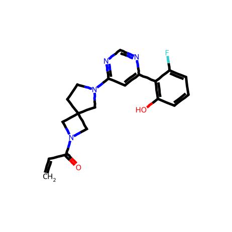 C=CC(=O)N1CC2(CCN(c3cc(-c4c(O)cccc4F)ncn3)C2)C1